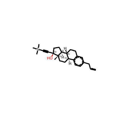 C=CCc1ccc2c(c1)CC[C@@H]1[C@@H]2CC[C@@]2(C)[C@H]1CC[C@@]2(O)C#C[Si](C)(C)C